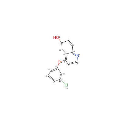 Oc1ccc2nccc(Oc3cccc(Cl)c3)c2c1